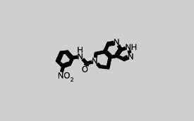 O=C(Nc1cccc([N+](=O)[O-])c1)N1CCc2c(cnc3[nH]ncc23)C1